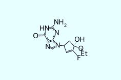 CCO[C@]1(O)C[C@H](n2cnc3c(=O)[nH]c(N)nc32)C=C1F